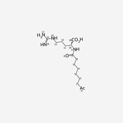 CC(=O)CCCCCCC(=O)N[C@@H](CCCNC(=N)N)C(=O)O